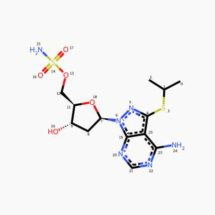 CC(C)Sc1nn([C@H]2C[C@H](O)[C@@H](COS(N)(=O)=O)O2)c2ncnc(N)c12